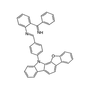 N=C(c1ccccc1)c1ccccc1/N=C/c1ccc(-n2c3ccccc3c3ccc4c5ccccc5oc4c32)cc1